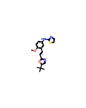 COc1ccc(Nc2nccs2)cc1/C=C/c1ncc(C(C)(C)C)o1